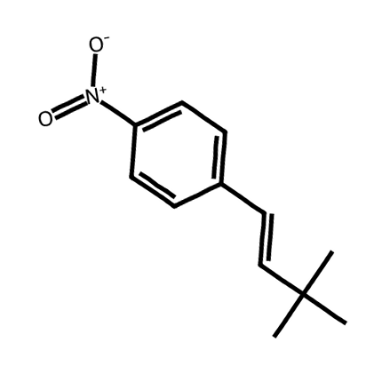 CC(C)(C)C=Cc1ccc([N+](=O)[O-])cc1